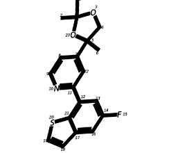 CC1(C)OCC(C)(c2ccnc(-c3cc(F)cc4ccsc34)c2)O1